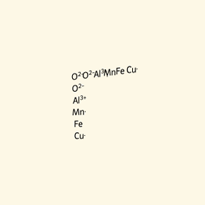 [Al+3].[Al+3].[Cu].[Cu].[Fe].[Fe].[Mn].[Mn].[O-2].[O-2].[O-2]